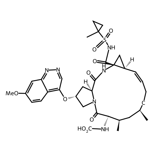 COc1ccc2c(O[C@@H]3C[C@H]4C(=O)N[C@]5(C(=O)NS(=O)(=O)C6(C)CC6)C[C@H]5/C=C\CC[C@@H](C)C[C@@H](C)[C@H](NC(=O)O)C(=O)N4C3)cnnc2c1